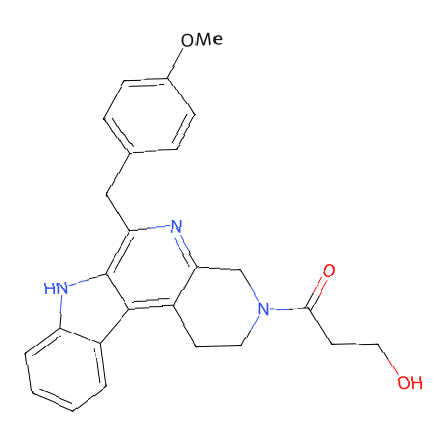 COc1ccc(Cc2nc3c(c4c2[nH]c2ccccc24)CCN(C(=O)CCO)C3)cc1